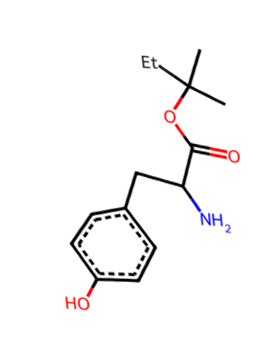 CCC(C)(C)OC(=O)C(N)Cc1ccc(O)cc1